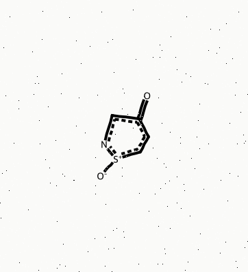 O=c1cc[s+]([O-])nc1